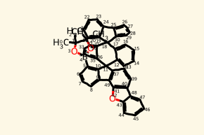 CC1(C)OB(c2cccc3c2C2(c4ccccc4C4(c5ccccc5-c5ccccc54)c4ccccc42)c2ccc4c(oc5ccccc54)c2-3)OC1(C)C